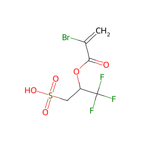 C=C(Br)C(=O)OC(CS(=O)(=O)O)C(F)(F)F